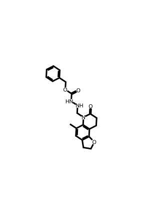 Cc1cc2c(c3c1N(CNNC(=O)OCc1ccccc1)C(=O)CC3)OCC2